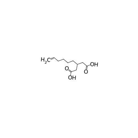 C=CCCCCC(CC(=O)O)CC(=O)O